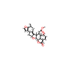 COC(=O)CC1C2(C)C3=C(C)C(c4ccoc4C(C)C)CC3OC2C2OC(=O)C3(C)C=CC(=O)C1(C)C23